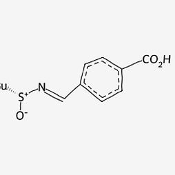 CC(C)(C)[S@@+]([O-])N=Cc1ccc(C(=O)O)cc1